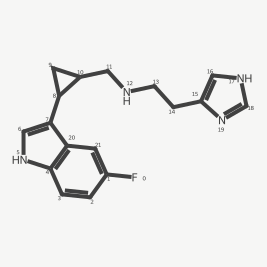 Fc1ccc2[nH]cc(C3CC3CNCCc3c[nH]cn3)c2c1